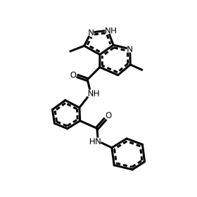 Cc1cc(C(=O)Nc2ccccc2C(=O)Nc2ccccc2)c2c(C)n[nH]c2n1